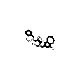 CC(C)CN(Cc1cc(Cl)c2c(c1)CCCCO2)C(=O)C(C)CN(C)Cc1ccccc1